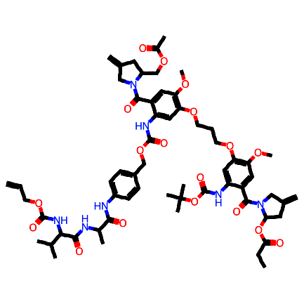 C=CCOC(=O)NC(C(=O)NC(C)C(=O)Nc1ccc(COC(=O)Nc2cc(OCCCOc3cc(NC(=O)OC(C)(C)C)c(C(=O)N4CC(=C)CC4OC(=O)CC)cc3OC)c(OC)cc2C(=O)N2CC(=C)CC2COC(C)=O)cc1)C(C)C